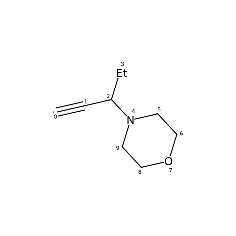 [C]#CC(CC)N1CCOCC1